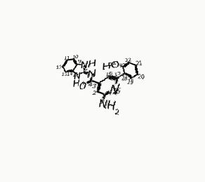 Nc1cc(C(=O)N=c2[nH]c3ccccc3[nH]2)cc(-c2ccccc2O)n1